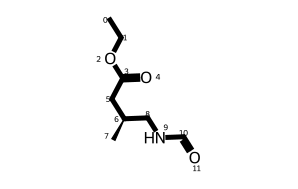 CCOC(=O)C[C@H](C)CNC=O